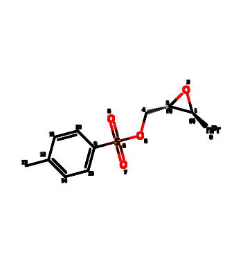 CCC[C@@H]1O[C@H]1COS(=O)(=O)c1ccc(C)cc1